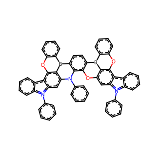 c1ccc(N2c3cc4c(c5c3B(c3ccccc3O5)c3ccc5c(c32)Oc2cc3c(c6c2B5c2ccccc2O6)c2ccccc2n3-c2ccccc2)c2ccccc2n4-c2ccccc2)cc1